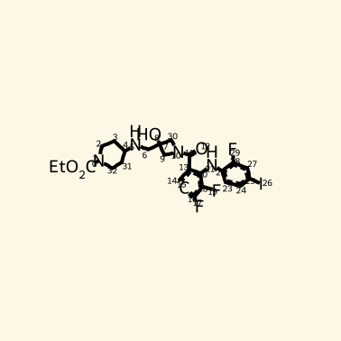 CCOC(=O)N1CCC(NCC2(O)CN(C(=O)c3ccc(F)c(F)c3Nc3ccc(I)cc3F)C2)CC1